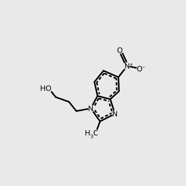 Cc1nc2cc([N+](=O)[O-])ccc2n1CCCO